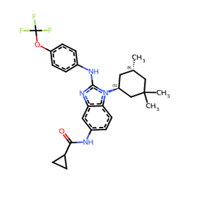 C[C@H]1C[C@H](n2c(Nc3ccc(OC(F)(F)F)cc3)nc3cc(NC(=O)C4CC4)ccc32)CC(C)(C)C1